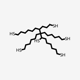 S[CH]CCC(CCCCCCS)C(CCCCCCS)(CCCCCCS)[C](S)CCCCCCS